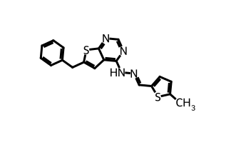 Cc1ccc(C=NNc2ncnc3sc(Cc4ccccc4)cc23)s1